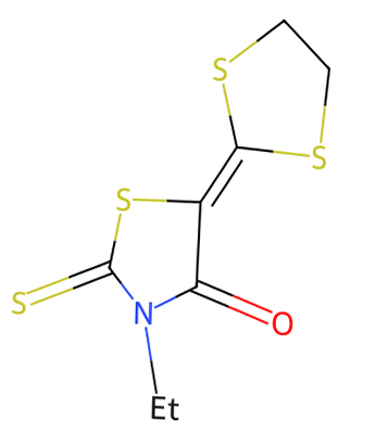 CCN1C(=O)C(=C2SCCS2)SC1=S